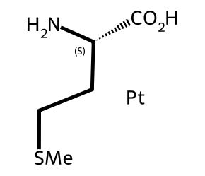 CSCC[C@H](N)C(=O)O.[Pt]